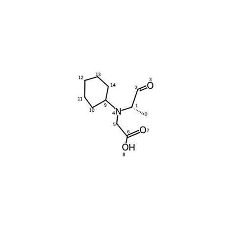 C[C@@H]([C]=O)N(CC(=O)O)C1CCCCC1